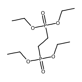 CCOP(=O)(CCP(=O)(OCC)OCC)OCC